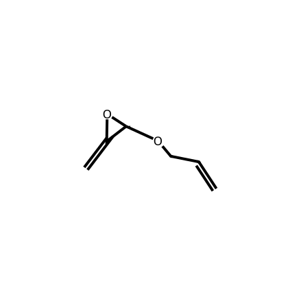 C=CCO[C]1OC1=C